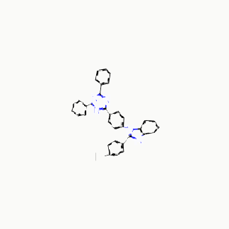 CC(C)c1ccc(-c2nc3ccccc3n2-c2ccc(-c3nc(-c4ccccc4)nc(-c4ccccc4)n3)cc2)cc1